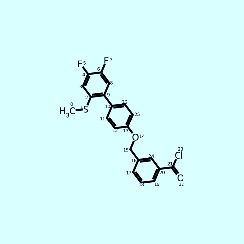 CSc1cc(F)c(F)cc1-c1ccc(OCc2cccc(C(=O)Cl)c2)cc1